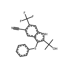 CC(C)(O)c1[nH]c2cc(C(F)(F)F)c(C#N)cc2c1Sc1ccccc1